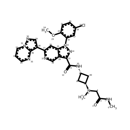 CNC(=O)CN(C)[C@H]1C[C@H](NC(=O)c2nn(-c3cc(Cl)ccc3OC)c3cc(-c4cnn5cccnc45)ncc23)C1